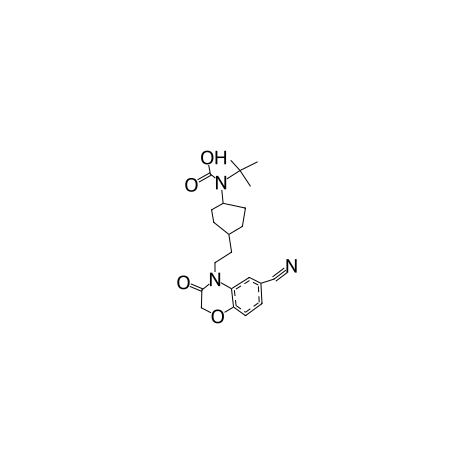 CC(C)(C)N(C(=O)O)C1CCC(CCN2C(=O)COc3ccc(C#N)cc32)CC1